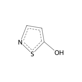 Oc1ccns1